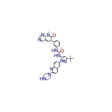 CN1C(=O)C(c2cccc(NC(=O)Nc3cc(C(C)(C)C)nn3-c3ccc4nc(N5CCNCC5)ccc4c3)c2)C=C2C=NC=NC21